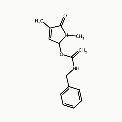 C=C(NCc1ccccc1)OC1C=C(C)C(=O)N1C